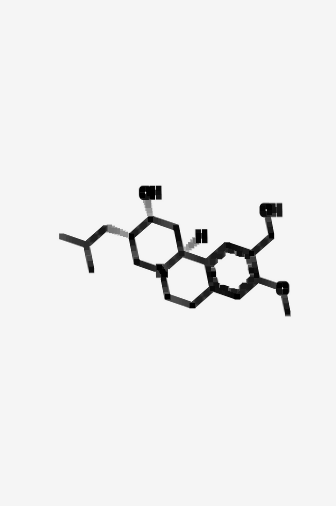 COc1cc2c(cc1CO)[C@@H]1C[C@@H](O)[C@@H](CC(C)C)CN1CC2